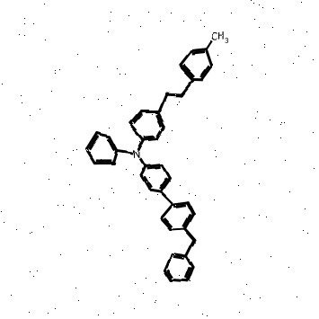 Cc1ccc(CCc2ccc(N(c3ccccc3)c3ccc(-c4ccc(Cc5ccccc5)cc4)cc3)cc2)cc1